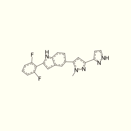 Cn1nc(-c2cc[nH]n2)cc1-c1ccc2[nH]c(-c3c(F)cccc3F)cc2c1